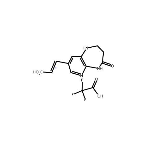 O=C(O)/C=C/c1cnc2c(c1)NCCC(=O)N2.O=C(O)C(F)(F)F